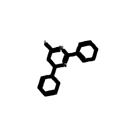 IC1=NC(C2=CCCC=C2)=NC(C2C=CC=CC2)C1